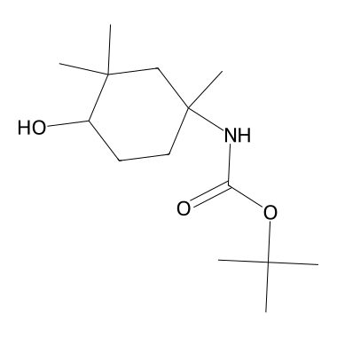 CC1(NC(=O)OC(C)(C)C)CCC(O)C(C)(C)C1